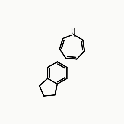 C1=CC=CNC=C1.c1ccc2c(c1)CCC2